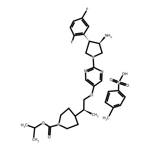 CC(C)OC(=O)N1CCC([C@H](C)COc2cnc(N3C[C@H](c4cc(F)ccc4F)[C@@H](N)C3)nc2)CC1.Cc1ccc(S(=O)(=O)O)cc1